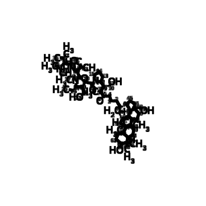 C=C(CCCC(=O)[C@H](C)[C@@H](CO)C1CCCN1C(=O)C[C@@H](CO)[C@H](CC)N(C)C(=O)[C@@H](NC(=O)[C@H](C(C)C)N(C)C)C(C)C)[C@@H]1CC[C@]2(CO)CC[C@]3(C)C(CCC4[C@@]5(C)CC[C@H](O)C(C)(C)[C@@H]5CC[C@]43C)[C@@H]12